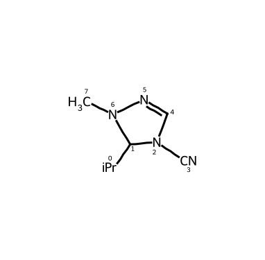 CC(C)C1N(C#N)C=NN1C